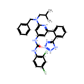 CC(C)CN(Cc1ccccc1)c1cc(NC(=O)Nc2ccc(Cl)cc2Cl)cc(-c2ccccc2-c2nnn[nH]2)n1